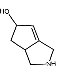 OC1C=C2CNCC2C1